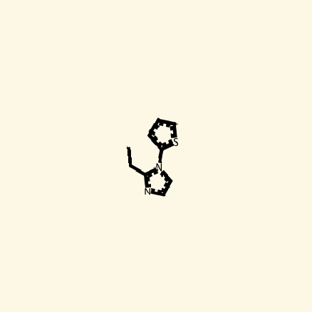 CCc1nccn1-c1cc[c]s1